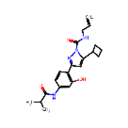 C=CCNC(=O)n1nc(-c2ccc(NC(=O)C(C)C)cc2O)cc1C1CCC1